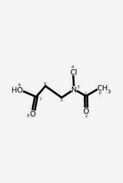 CC(=O)N(Cl)CCC(=O)O